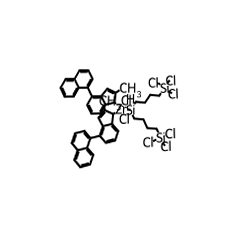 CC1=Cc2c(-c3cccc4ccccc34)cccc2[CH]1[Zr]([Cl])([Cl])([CH]1C(C)=Cc2c(-c3cccc4ccccc34)cccc21)[SiH](CCCC[Si](Cl)(Cl)Cl)CCCC[Si](Cl)(Cl)Cl